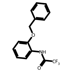 O=C(Nc1ccccc1OCc1ccccc1)C(F)(F)F